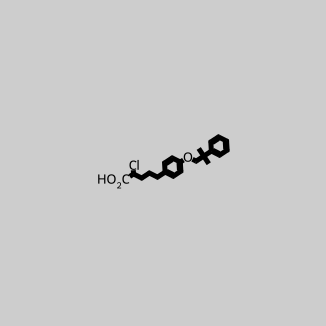 CC(C)(COc1ccc(CCCC(Cl)C(=O)O)cc1)c1ccccc1